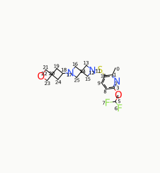 Cc1nc(OC(F)F)ccc1SN1CC2(C1)CN(C1CC3(COC3)C1)C2